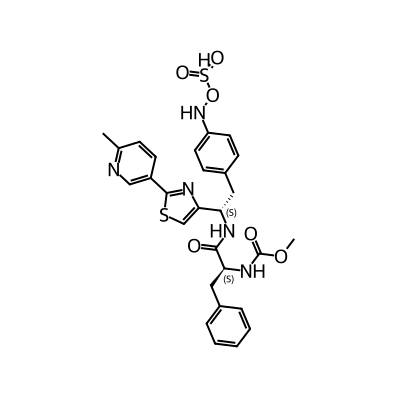 COC(=O)N[C@@H](Cc1ccccc1)C(=O)N[C@@H](Cc1ccc(NO[SH](=O)=O)cc1)c1csc(-c2ccc(C)nc2)n1